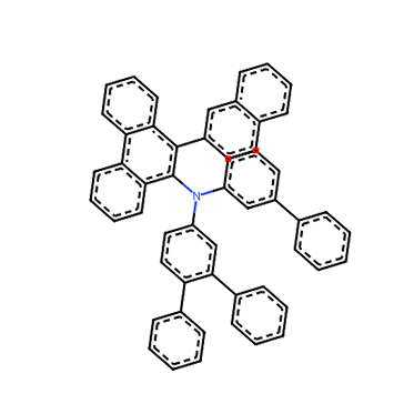 c1ccc(-c2cccc(N(c3ccc(-c4ccccc4)c(-c4ccccc4)c3)c3c(-c4ccc5ccccc5c4)c4ccccc4c4ccccc34)c2)cc1